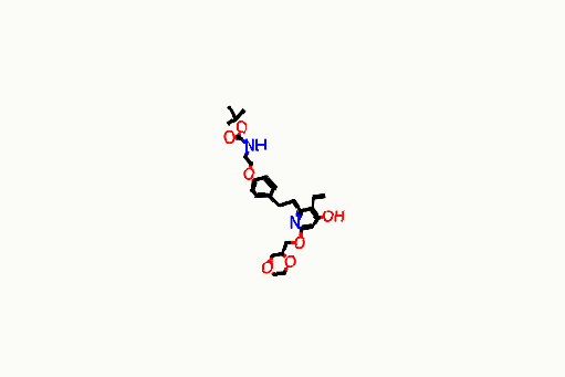 CCc1c(O)cc(OCC2COCCO2)nc1CCc1ccc(OCCNC(=O)OC(C)(C)C)cc1